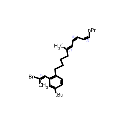 CCC\C=C/C=C\C=C(/C)CCCCc1ccc(C(C)(C)C)cc1/C=C(\C)Br